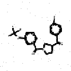 O=C(c1ccc(F)cc1)C1CCN(C(=O)c2cccc(OC(F)(F)F)c2)C1